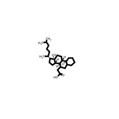 CC(C)CCCC(C)[C@H]1CC[C@H]2[C@@H]3C(CC(=O)O)CC4CCCC[C@]4(C)[C@H]3CC[C@]12C